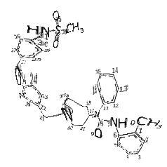 Cc1ccccc1NC(=O)N(c1ccccc1)C1CCN(Cc2ccc(Oc3ccc(NS(C)(=O)=O)cc3)nc2)CC1